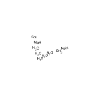 O.O.O.O.O.O.[NaH].[NaH].[Sn]